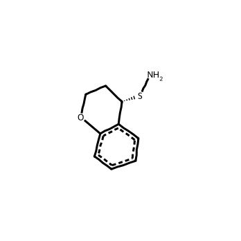 NS[C@H]1CCOc2ccccc21